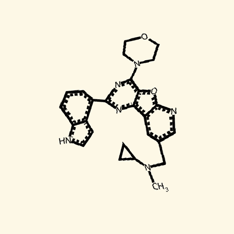 CN(Cc1cnc2oc3c(N4CCOCC4)nc(-c4cccc5[nH]ccc45)nc3c2c1)C1CC1